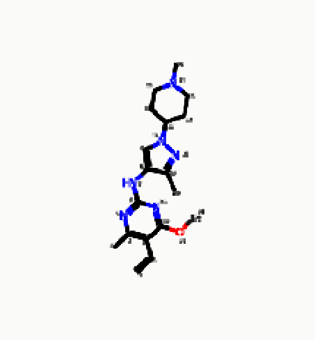 C=Cc1c(C)nc(Nc2cn(C3CCN(C)CC3)nc2C)nc1OCC